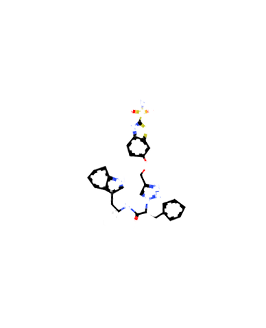 C[C@H](Cc1c[nH]c2ccccc12)NC(=O)[C@H](Cc1ccccc1)n1cc(COc2ccc3nc(S(N)(=O)=O)sc3c2)nn1